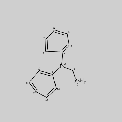 [AsH2]CP(c1ccccc1)c1ccccc1